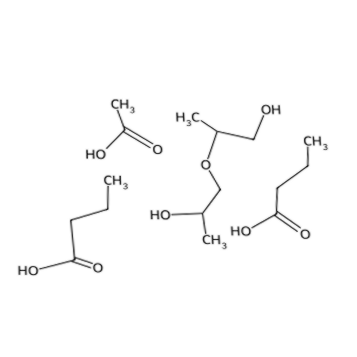 CC(=O)O.CC(O)COC(C)CO.CCCC(=O)O.CCCC(=O)O